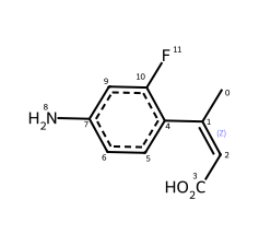 C/C(=C/C(=O)O)c1ccc(N)cc1F